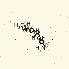 CC(C)(C)OC(=O)N1CCC(n2ncc(COc3ccc(C(N)=O)cc3F)c2C#N)CC1